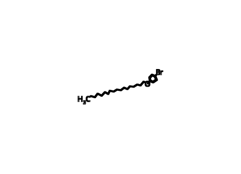 CCCCCCCCCCCCCCCCCCOc1ccc(Br)cc1